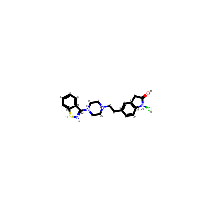 O=C1Cc2cc(CCN3CCN(c4nsc5ccccc45)CC3)ccc2N1Cl